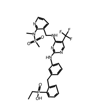 CCP(=O)(O)c1ccccc1Cc1cccc(Nc2ncc(C(F)(F)F)c(NCc3cccnc3N(C)S(C)(=O)=O)n2)c1